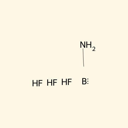 CN.F.F.F.[B]